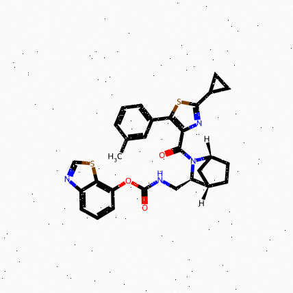 Cc1cccc(-c2sc(C3CC3)nc2C(=O)N2[C@@H]3CC[C@@H](C3)[C@H]2CNC(=O)Oc2cccc3ncsc23)c1